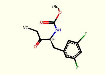 CC(C)(C)OC(=O)N[C@@H](Cc1cc(F)cc(F)c1)C(=O)CC#N